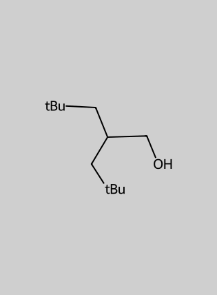 CC(C)(C)CC(CO)CC(C)(C)C